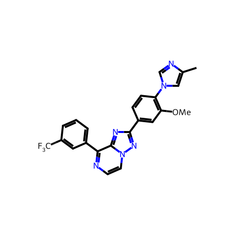 COc1cc(-c2nc3c(-c4cccc(C(F)(F)F)c4)nccn3n2)ccc1-n1cnc(C)c1